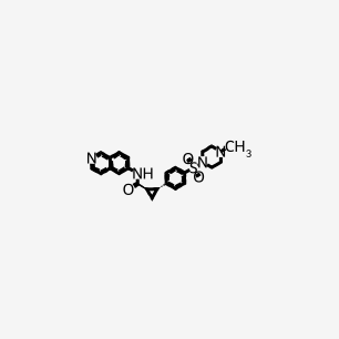 CN1CCN(S(=O)(=O)c2ccc([C@@H]3C[C@H]3C(=O)Nc3ccc4cnccc4c3)cc2)CC1